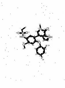 CCS(=O)(=O)Nc1cc(-c2cn(C)c(=O)c3[nH]ccc23)c(Oc2ccc(F)cc2F)cc1OC